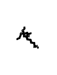 CCO[Si](CNCCCCN)(OCC)OCC